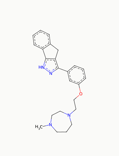 CN1CCCN(CCOc2cccc(-c3n[nH]c4c3Cc3ccccc3-4)c2)CC1